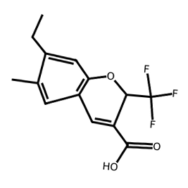 CCc1cc2c(cc1C)C=C(C(=O)O)C(C(F)(F)F)O2